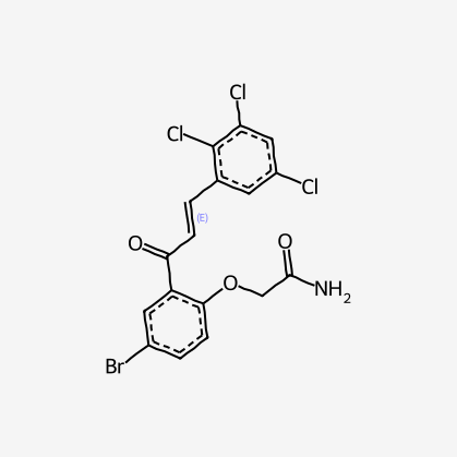 NC(=O)COc1ccc(Br)cc1C(=O)/C=C/c1cc(Cl)cc(Cl)c1Cl